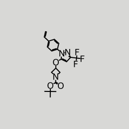 C=Cc1ccc(-n2nc(C(F)(F)F)cc2OC2CN(C(=O)OC(C)(C)C)C2)cc1